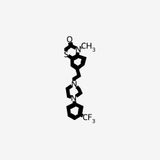 CN1C(=O)CSc2cc(CCN3CCN(c4cccc(C(F)(F)F)c4)CC3)ccc21